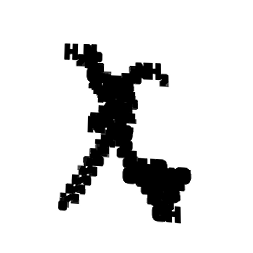 CCCCCCCCCCCCCCCCN(CCC[C@@H](C)C1CCC2C3[C@H](OCCCN)CC4C[C@H](OCCCN)CCC4(C)[C@H]3C[C@H](OCCCN)C21C)C(=O)CCCCCNC(=O)c1ccc(-c2c3ccc(=O)cc-3oc3cc(O)ccc23)c(C(=O)O)c1